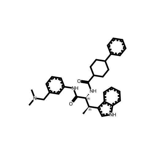 C[C@H](c1c[nH]c2ccccc12)[C@@H](NC(=O)C1CCC(c2ccccc2)CC1)C(=O)Nc1cccc(CN(C)C)c1